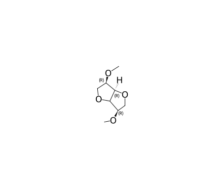 CO[C@@H]1CO[C@H]2C1OC[C@H]2OC